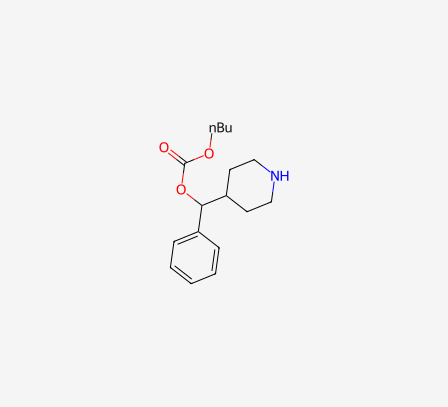 CCCCOC(=O)OC(c1ccccc1)C1CCNCC1